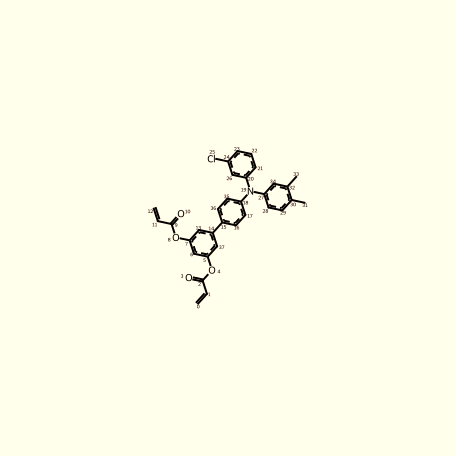 C=CC(=O)Oc1cc(OC(=O)C=C)cc(-c2ccc(N(c3cccc(Cl)c3)c3ccc(C)c(C)c3)cc2)c1